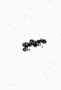 Nc1nccn2c([C@@H]3CCCN3)nc(-c3ccc(C(=O)N4CCC[C@H]4c4nc(-c5ccc(C(=O)Nc6ccccn6)cc5)c5c(N)nccn45)cc3)c12